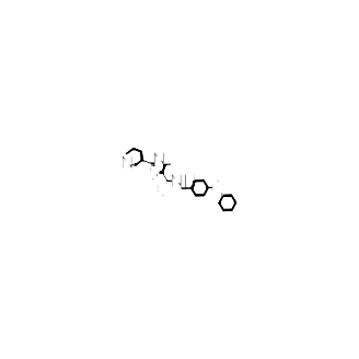 O=C(NCc1ccc(Oc2ccccc2)cc1)c1sc(-c2cccnc2)nc1Cl